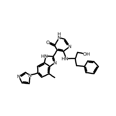 Cc1cc(-n2ccnc2)cc2[nH]c(-c3c(NC(CO)Cc4ccccc4)nc[nH]c3=O)nc12